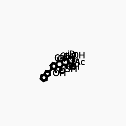 CC(=O)C1=C(O)C(C(C)C)[C@@]2(C)[C@H](C)[C@]3(C)C(=C(O)[C@@]2(O)C1=O)C(=O)c1c(ccc(C2=Cc4ccccc4C2)c1O)[C@H]3C